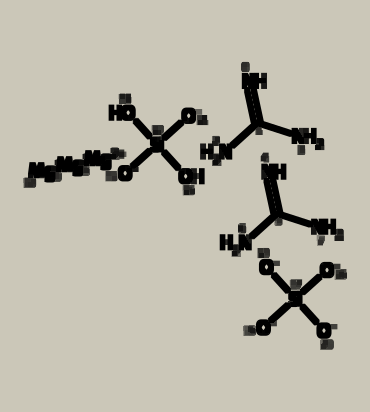 N=C(N)N.N=C(N)N.[Mg+2].[Mg+2].[Mg+2].[O-][Si]([O-])(O)O.[O-][Si]([O-])([O-])[O-]